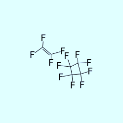 FC(F)=C(F)F.FC1(F)C(F)(F)C(F)(F)C1(F)F